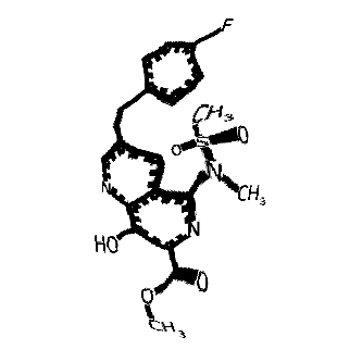 COC(=O)c1nc(N(C)S(C)(=O)=O)c2cc(Cc3ccc(F)cc3)cnc2c1O